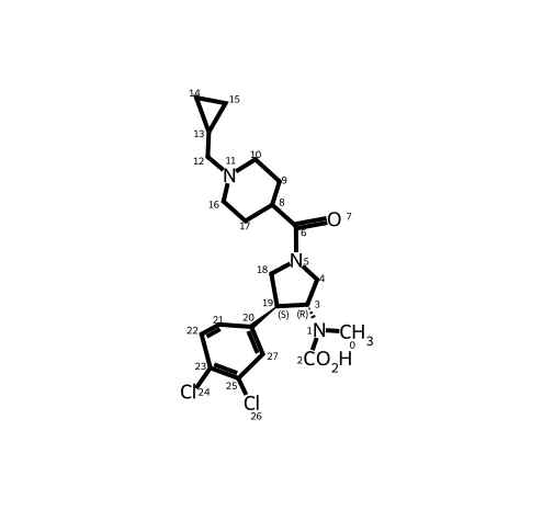 CN(C(=O)O)[C@H]1CN(C(=O)C2CCN(CC3CC3)CC2)C[C@@H]1c1ccc(Cl)c(Cl)c1